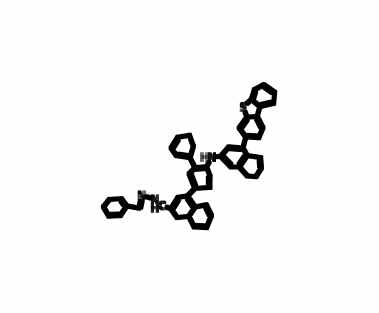 C1=CCCC(c2cc(C3=C4C=CC=CC4CC(CN/N=C/C4=CCCC=C4)=C3)ccc2Nc2cc3c(c(-c4ccc5c(c4)sc4ccccc45)c2)C=CCC3)=C1